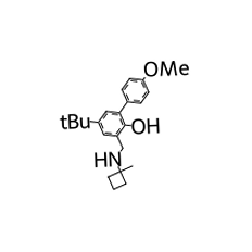 COc1ccc(-c2cc(C(C)(C)C)cc(CNC3(C)CCC3)c2O)cc1